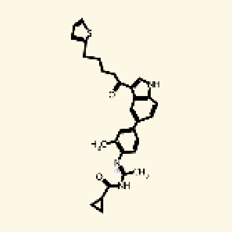 C/C(=N\c1ccc(-c2ccc3[nH]cc(C(=O)CCCCc4cccs4)c3c2)cc1C)NC(=O)C1CC1